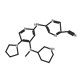 CN(c1cc(Nc2cnc(C#N)cn2)ncc1N1CCCC1)C1CCCNC1